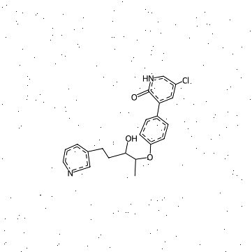 CC(Oc1ccc(-c2cc(Cl)c[nH]c2=O)cc1)C(O)CCc1cccnc1